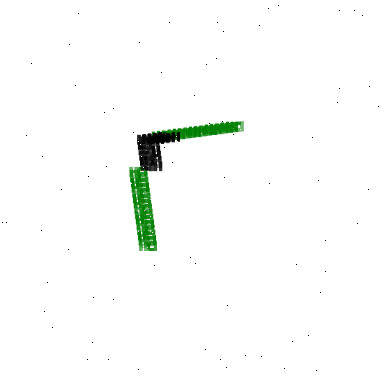 Cl.Cl.Cl.Cl.Cl.Cl.Cl.Cl.Cl.Cl.Cl.Cl.Cl.Cl.Cl.Cl.Cl.Cl.Cl.Cl.Cl.Cl.Cl.Cl.Cl.Cl.Cl.Cl.Cl.Cl.[NaH].[NaH].[NaH].[NaH].[NaH].[NaH].[NaH].[NaH].[NaH].[NaH]